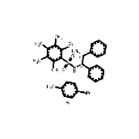 Cc1c(C)c(C)c(S(=O)(=O)N[C@H](c2ccccc2)[C@H](N)c2ccccc2)c(C)c1C.Cc1ccc(C(C)C)cc1.[Ru]